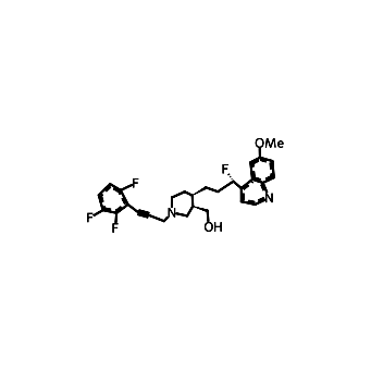 COc1ccc2nccc([C@@H](F)CC[C@@H]3CCN(CC#Cc4c(F)ccc(F)c4F)C[C@@H]3CO)c2c1